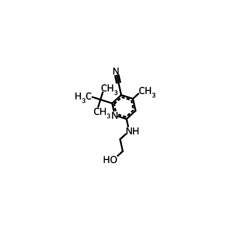 Cc1cc(NCCO)nc(C(C)(C)C)c1C#N